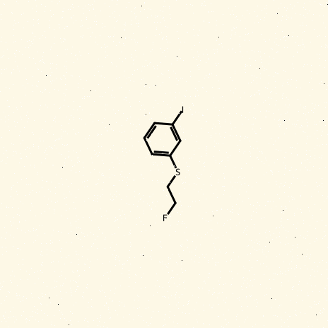 FCCSc1cccc(I)c1